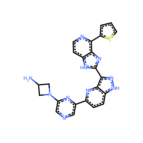 NC1CN(c2cncc(-c3ccc4[nH]nc(-c5nc6c(-c7cccs7)nccc6[nH]5)c4n3)n2)C1